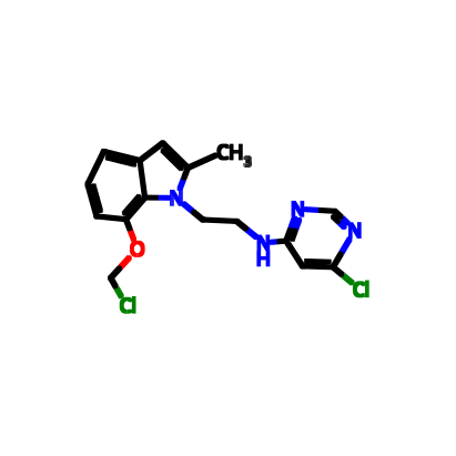 Cc1cc2cccc(OCCl)c2n1CCNc1cc(Cl)ncn1